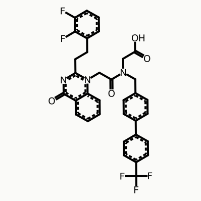 O=C(O)CN(Cc1ccc(-c2ccc(C(F)(F)F)cc2)cc1)C(=O)Cn1c(CCc2cccc(F)c2F)nc(=O)c2ccccc21